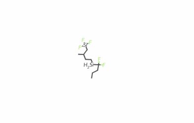 CCCC(F)(F)[SiH2]CCC(C)C[Si](F)(F)F